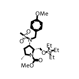 CC[Si](CC)(CC)OC[C@H]1[C@@H](N(Cc2ccc(OC)cc2)S(C)(=O)=O)C[C@@H](C)N1C(=O)OC